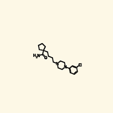 NC(=O)C1(CCCCN2CCN(c3cccc(Cl)c3)CC2)CCCC1